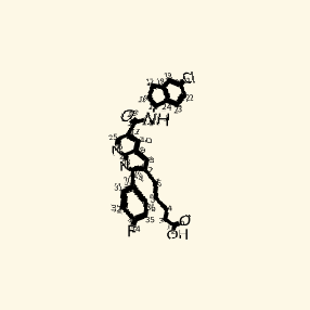 O=C(O)CCCCc1cc2cc(C(=O)N[C@@H]3CCc4cc(Cl)ccc43)cnc2nc1-c1ccc(F)cc1